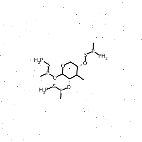 CC1[C@H](OP(C)SP)C(OP(C)SP)OC[C@@H]1OSP(C)P